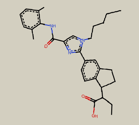 CCCCCn1cc(C(=O)Nc2c(C)cccc2C)nc1-c1ccc2c(c1)CCC2C(CC)C(=O)O